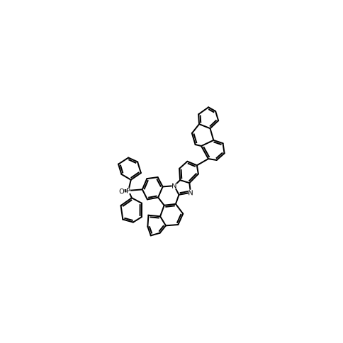 O=P(c1ccccc1)(c1ccccc1)c1ccc2c(c1)c1c3ccccc3ccc1c1nc3cc(-c4cccc5c4ccc4ccccc45)ccc3n21